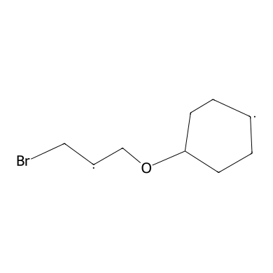 BrC[CH]COC1CC[CH]CC1